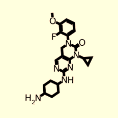 COc1cccc(N2Cc3cnc(NC4CCC(N)CC4)nc3N(C3CC3)C2=O)c1F